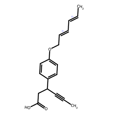 CC#CC(CC(=O)O)c1ccc(OC/C=C/C=C/C)cc1